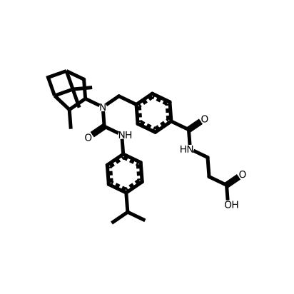 CC(C)c1ccc(NC(=O)N(Cc2ccc(C(=O)NCCC(=O)O)cc2)C2CC3CC(C2C)C3(C)C)cc1